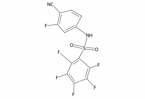 N#Cc1ccc(NS(=O)(=O)c2c(F)c(F)c(F)c(F)c2F)cc1F